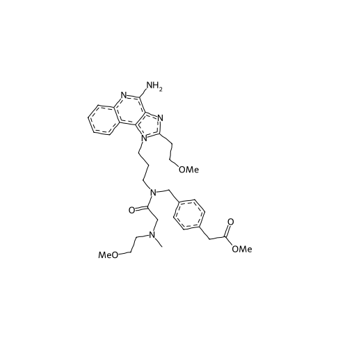 COCCc1nc2c(N)nc3ccccc3c2n1CCCN(Cc1ccc(CC(=O)OC)cc1)C(=O)CN(C)CCOC